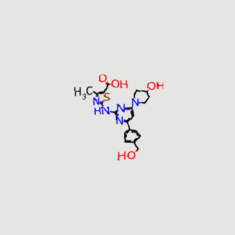 Cc1nc(Nc2nc(-c3ccc(CO)cc3)cc(N3CCC(O)CC3)n2)sc1C(=O)O